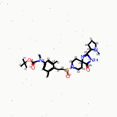 Cc1cc(N(C)C(=O)OC(C)(C)C)cc(C)c1CC[S+]([O-])N1CCC2(CC1)N=C(C1CCCN1C)NC2=O